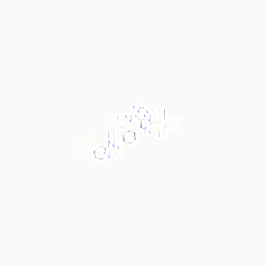 Nc1nccn2c([C@H]3[C@@H]4COC[C@@H]43)nc(-c3ccc(C(=O)Nc4cc(C(F)(F)F)ccn4)cc3)c12